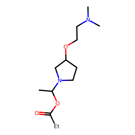 CCC(=O)OC(C)N1CCC(OCCN(C)C)C1